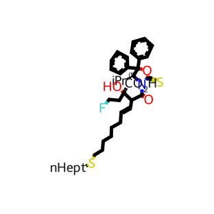 CCCCCCCSCCCCCCC=CC(C(=O)N1C(=S)OC(c2ccccc2)(c2ccccc2)[C@@H]1C(C)C)C(O)(CCF)C(=O)O